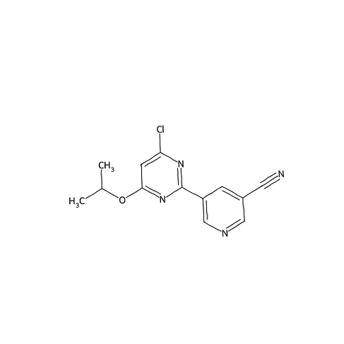 CC(C)Oc1cc(Cl)nc(-c2cncc(C#N)c2)n1